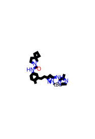 Cc1ccc(NC(=O)N2CCC3(CCC3)C2)cc1CCc1cc(Nc2nccnc2C)n(C(C)(C)C)n1